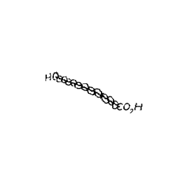 O=C(O)CCOCCOCCOCCOCCOCCOCCOCCOCCOCCOCCOCCO